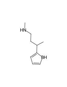 CNCCC(C)C1=CC=CB1